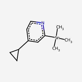 [CH3][Sn]([CH3])([CH3])[c]1cc(C2CC2)ccn1